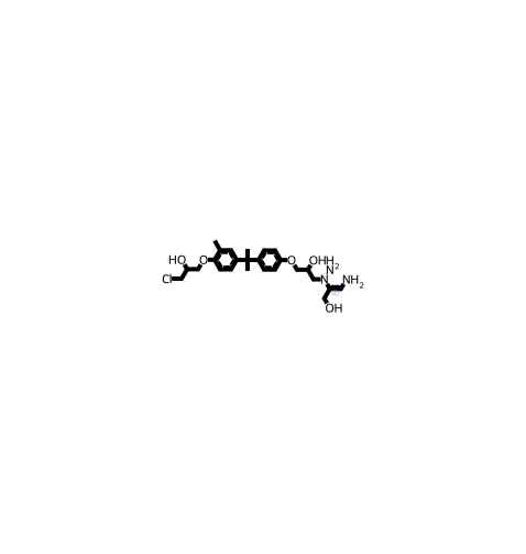 Cc1cc(C(C)(C)c2ccc(OCC(O)CN(N)/C(=C\N)CO)cc2)ccc1OCC(O)CCl